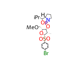 COC[C@H]1O[C@@H](S(=O)(=O)c2ccc(Br)cc2)[C@@H](C)C1OP1OC(C(C)C)[C@@H]2CCCN21